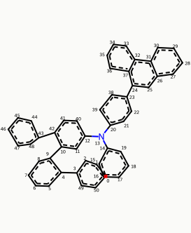 c1ccc(-c2ccccc2-c2cc(N(c3ccccc3)c3ccc(-c4cc5ccccc5c5ccccc45)cc3)ccc2-c2ccccc2)cc1